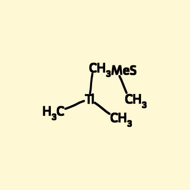 CSC.[CH3][Tl]([CH3])[CH3]